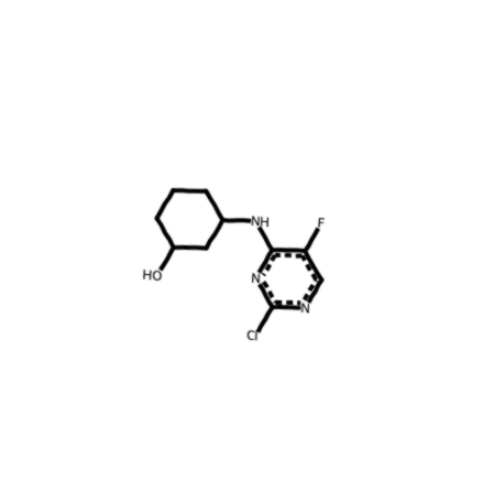 OC1CCCC(Nc2nc(Cl)ncc2F)C1